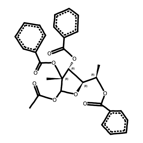 CC(=O)OC1O[C@H]([C@@H](C)OC(=O)c2ccccc2)[C@@H](OC(=O)c2ccccc2)[C@@]1(C)OC(=O)c1ccccc1